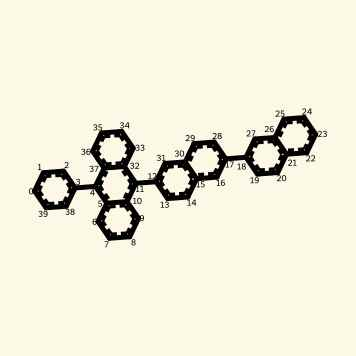 c1ccc(-c2c3ccccc3c(-c3ccc4cc(-c5ccc6ccccc6c5)ccc4c3)c3ccccc23)cc1